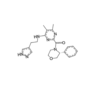 Cc1nc(C(=O)N2CCOC[C@H]2c2ccccc2)nc(NCCc2cn[nH]c2)c1C